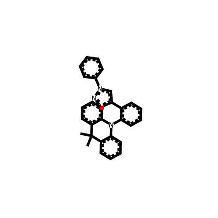 CC1(C)c2ccccc2N(c2ccccc2-c2cn(-c3ccccc3)nn2)c2ccccc21